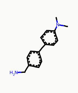 CN(C)c1ccc(-c2ccc(CN)cc2)cc1